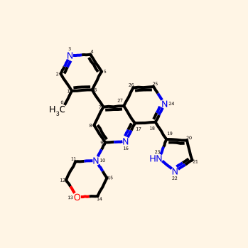 Cc1cnccc1-c1cc(N2CCOCC2)nc2c(-c3ccn[nH]3)nccc12